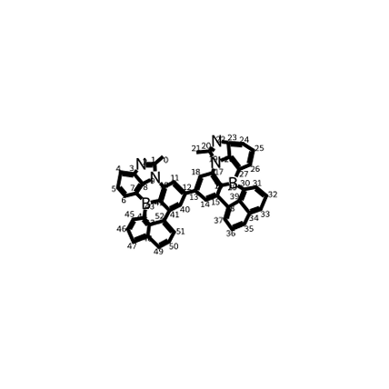 Cc1nc2cccc3c2n1-c1cc(-c2cc4c5c(c2)-n2c(C)nc6cccc(c62)B5c2cccc5cccc-4c25)cc2c1B3c1cccc3cccc-2c13